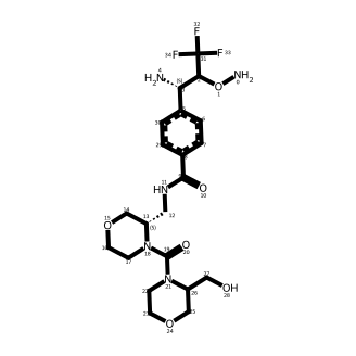 NOC([C@@H](N)c1ccc(C(=O)NC[C@H]2COCCN2C(=O)N2CCOCC2CO)cc1)C(F)(F)F